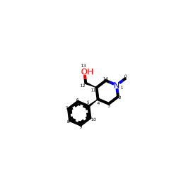 CN1CC[C@@H](c2ccccc2)[C@@H](CO)C1